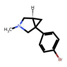 CN1C[C@H]2CC2(c2ccc(Br)cc2)C1